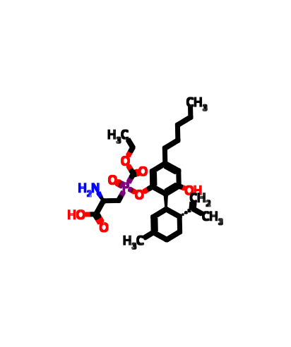 C=C(C)[C@@H]1CCC(C)=C[C@H]1c1c(O)cc(CCCCC)cc1OP(=O)(C[C@H](N)C(=O)O)C(=O)OCC